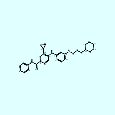 O=C(Nc1ccccc1)c1ccc(Nc2cccc(OCCCC3CCCCC3)c2)c(C2CC2)c1